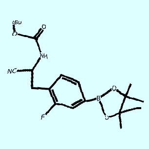 CC(C)(C)OC(=O)NC(C#N)Cc1ccc(B2OC(C)(C)C(C)(C)O2)cc1F